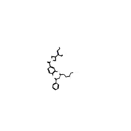 C=C/C(=C\CF)C1CN(C(=O)c2ccc3c(c2)N=C(CC[C@H](C)CC(=O)O)CC(c2ccccc2)=N3)C1